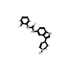 CCN1C=CC(c2c[nH]c3ccc(NC(=O)Nc4ccccc4I)cc23)CC1